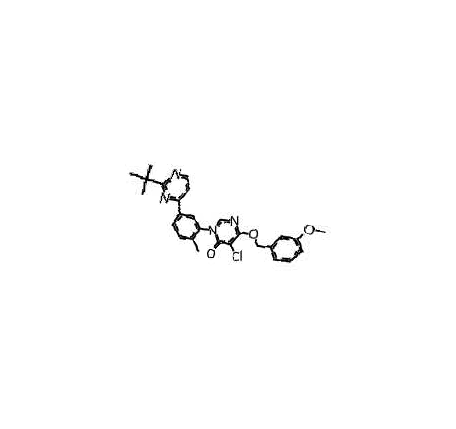 COc1cccc(COc2ncn(-c3cc(-c4ccnc(C(C)(C)C)n4)ccc3C)c(=O)c2Cl)c1